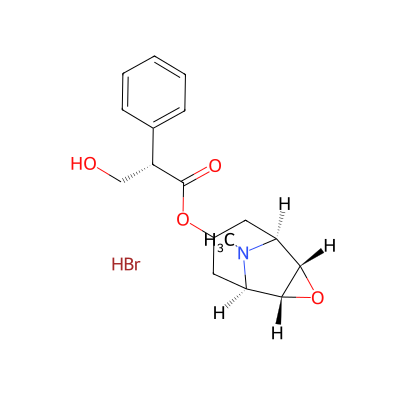 Br.CN1[C@@H]2CC(OC(=O)[C@H](CO)c3ccccc3)C[C@H]1[C@@H]1O[C@@H]12